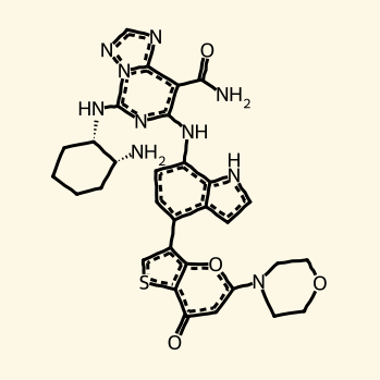 NC(=O)c1c(Nc2ccc(-c3csc4c(=O)cc(N5CCOCC5)oc34)c3cc[nH]c23)nc(N[C@H]2CCCC[C@H]2N)n2ncnc12